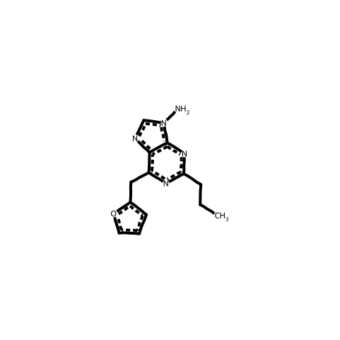 CCCc1nc(Cc2ccco2)c2ncn(N)c2n1